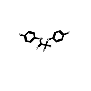 O=C(Nc1ccc(F)cc1)C(F)(F)Sc1ccc(F)cc1